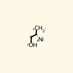 [CH2]CCO.[Ni]